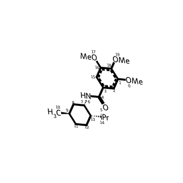 COc1cc(C(=O)N[C@H]2C[C@H](C)CC[C@H]2C(C)C)cc(OC)c1OC